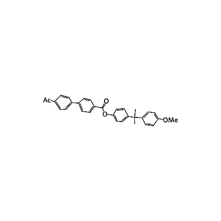 COc1ccc(C(C)(C)c2ccc(OC(=O)c3ccc(-c4ccc(C(C)=O)cc4)cc3)cc2)cc1